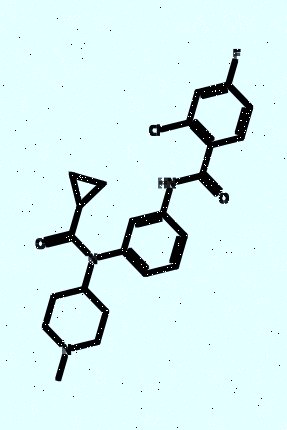 CN1CCC(N(C(=O)C2CC2)c2cccc(NC(=O)c3ccc(F)cc3Cl)c2)CC1